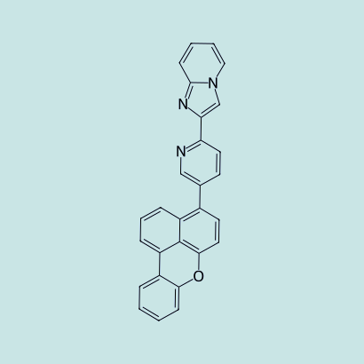 c1ccc2c(c1)Oc1ccc(-c3ccc(-c4cn5ccccc5n4)nc3)c3cccc-2c13